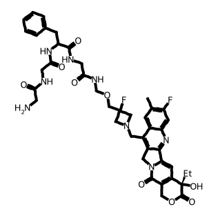 CC[C@@]1(O)C(=O)OCc2c1cc1n(c2=O)Cc2c-1nc1cc(F)c(C)cc1c2CN1CC(F)(COCNC(=O)CNC(=O)C(Cc2ccccc2)NC(=O)CNC(=O)CN)C1